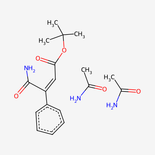 CC(C)(C)OC(=O)C=C(C(N)=O)c1ccccc1.CC(N)=O.CC(N)=O